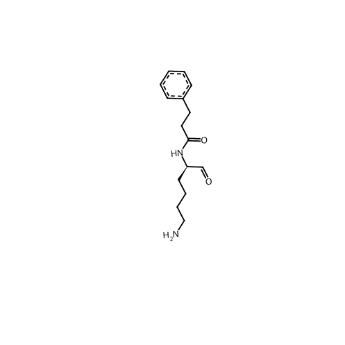 NCCCC[C@H](C=O)NC(=O)CCc1ccccc1